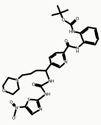 CC(C)(C)OC(=O)Nc1ccccc1NC(=O)c1ccc(C(CCCN2CCOCC2)NC(=O)Nc2ncc([N+](=O)[O-])s2)cn1